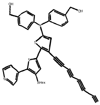 C#CC#CC#CC#Cc1cc(N(c2ccc(CO)cc2)c2ccc(CO)cc2)sc1-c1cc(CCCCCC)c(-c2ccncc2)s1